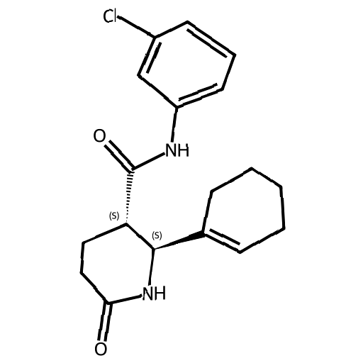 O=C1CC[C@H](C(=O)Nc2cccc(Cl)c2)[C@@H](C2=CCCCC2)N1